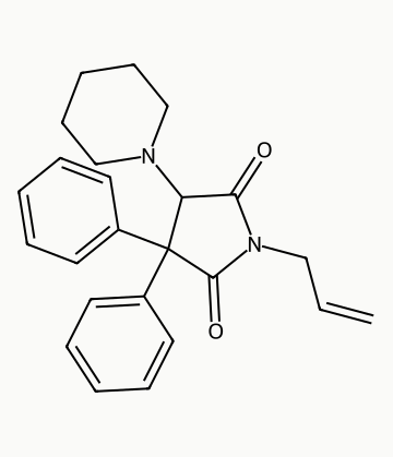 C=CCN1C(=O)C(N2CCCCC2)C(c2ccccc2)(c2ccccc2)C1=O